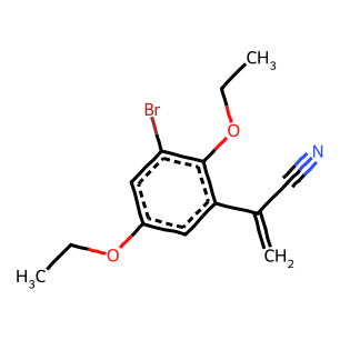 C=C(C#N)c1cc(OCC)cc(Br)c1OCC